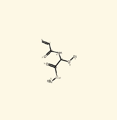 C=CC(=O)NC(OCC)C(=O)OCCCC